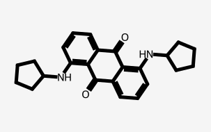 O=C1c2cccc(NC3CCCC3)c2C(=O)c2cccc(NC3CCCC3)c21